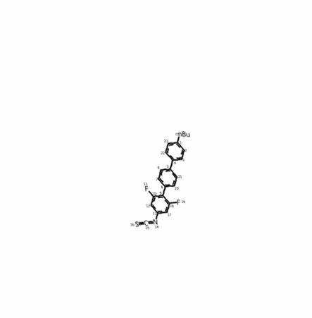 CCCCc1ccc(-c2ccc(-c3c(F)cc(N=C=S)cc3F)cc2)cc1